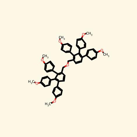 COc1ccc(-c2ccc(COCc3ccc(-c4ccc(OC)cc4)c(-c4ccc(OC)cc4)c3-c3ccc(OC)cc3)c(-c3ccc(OC)cc3)c2-c2ccc(OC)cc2)cc1